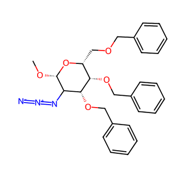 CO[C@@H]1O[C@H](COCc2ccccc2)[C@H](OCc2ccccc2)[C@H](OCc2ccccc2)C1N=[N+]=[N-]